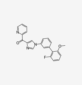 COc1cccc(F)c1-c1cccc(-n2cnc(C(=O)c3ccccn3)c2)c1